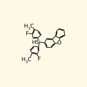 Cc1ccc([SiH](c2ccc(C)c(F)c2)c2ccc3oc4ccccc4c3c2)cc1F